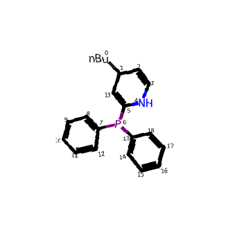 CCCCC1C=CNC(P(c2ccccc2)c2ccccc2)=C1